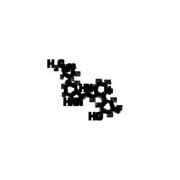 Cn1cc(-c2ccc3[nH]nc(-c4cc5c(-c6cc(O)cc(F)c6)nccc5[nH]4)c3c2)cn1